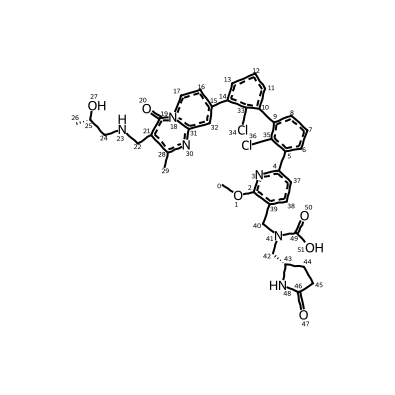 COc1nc(-c2cccc(-c3cccc(-c4ccn5c(=O)c(CNC[C@H](C)O)c(C)nc5c4)c3Cl)c2Cl)ccc1CN(C[C@@H]1CCC(=O)N1)C(=O)O